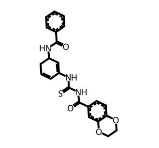 O=C(NC(=S)NC1=CC(NC(=O)c2ccccc2)CC=C1)c1ccc2c(c1)OCCO2